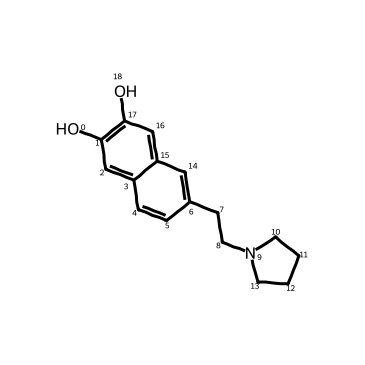 Oc1cc2ccc(CCN3CCCC3)cc2cc1O